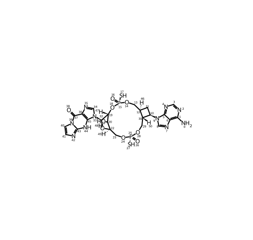 Nc1ncnc2c1ncn2[C@@H]1C[C@@H]2CO[P@](=O)(S)O[C@@H]3[C@H](O)[C@@H](CO[P@@](=O)(S)OC[C@H]21)O[C@H]3n1cnc2c(=O)n3ccnc3[nH]c21